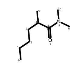 CCCCC(C)C(=O)N(C)C